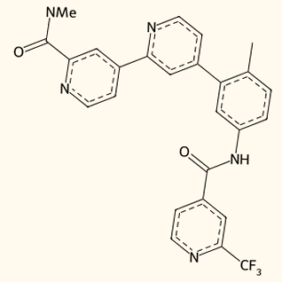 CNC(=O)c1cc(-c2cc(-c3cc(NC(=O)c4ccnc(C(F)(F)F)c4)ccc3C)ccn2)ccn1